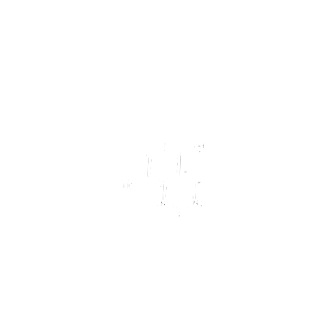 Oc1ccc(O)c2ncncc12